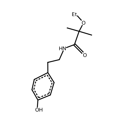 CCOC(C)(C)C(=O)NCCc1ccc(O)cc1